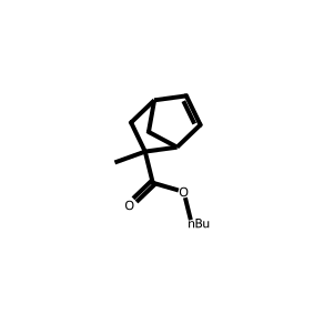 CCCCOC(=O)C1(C)CC2C=CC1C2